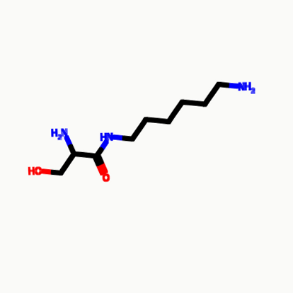 NCCCCCCNC(=O)C(N)CO